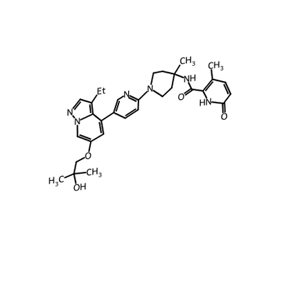 CCc1cnn2cc(OCC(C)(C)O)cc(-c3ccc(N4CCC(C)(NC(=O)c5[nH]c(=O)ccc5C)CC4)nc3)c12